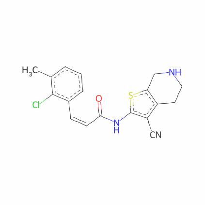 Cc1cccc(/C=C\C(=O)Nc2sc3c(c2C#N)CCNC3)c1Cl